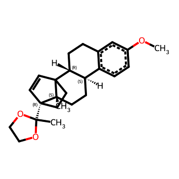 COc1ccc2c(c1)CC[C@@H]1[C@@H]2CC[C@@]2(C)C13C=C[C@]2(C1(C)OCCO1)CC3